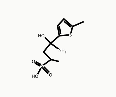 Cc1ccc(C(N)(O)CC(C)S(=O)(=O)O)s1